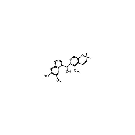 COc1cc2c(C(O)c3ccc4c(c3OC)C=CC(C)(C)O4)ccnc2cc1O